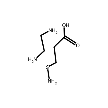 NCCN.NSCCC(=O)O